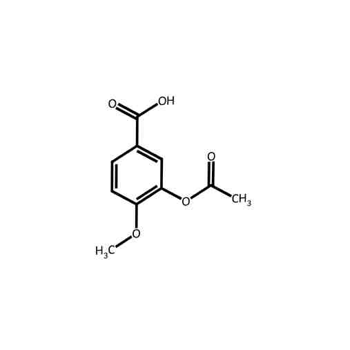 COc1ccc(C(=O)O)cc1OC(C)=O